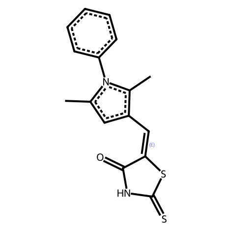 Cc1cc(/C=C2/SC(=S)NC2=O)c(C)n1-c1ccccc1